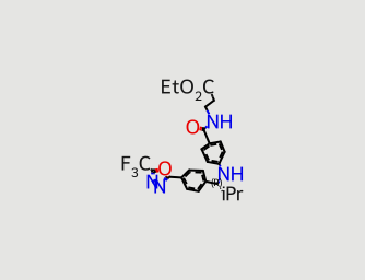 CCOC(=O)CCNC(=O)c1ccc(N[C@@H](c2ccc(-c3nnc(C(F)(F)F)o3)cc2)C(C)C)cc1